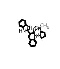 CN(C)C1CCCN1n1c(=O)c(-c2nc3ccccc3[nH]2)cc2ccccc21